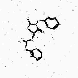 CC(Oc1ccccc1)OC1SC(=O)N(Cc2ccccc2)C1=O